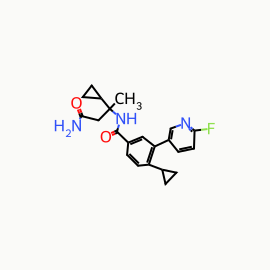 CC(CC(N)=O)(NC(=O)c1ccc(C2CC2)c(-c2ccc(F)nc2)c1)C1CC1